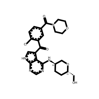 O=C(c1cc(C(=O)N2CCOCC2)ccc1Cl)c1c[nH]c2ncnc(N[C@@H]3CC[C@@H](CO)OC3)c12